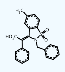 Cc1ccc2c(c1)/C(=C(\C(=O)O)c1ccccc1)N(Cc1ccccc1)S2(=O)=O